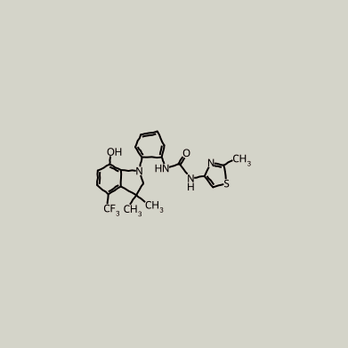 Cc1nc(NC(=O)Nc2ccccc2N2CC(C)(C)c3c(C(F)(F)F)ccc(O)c32)cs1